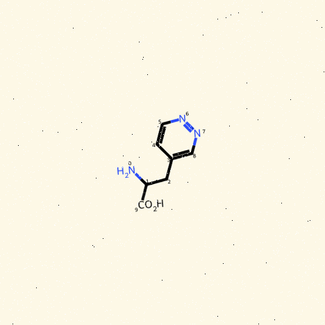 NC(Cc1ccnnc1)C(=O)O